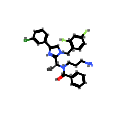 CC(C)(C)[C@H](c1nc(-c2cccc(Cl)c2)cn1Cc1ccc(F)cc1F)N(CCCN)C(=O)c1ccccc1